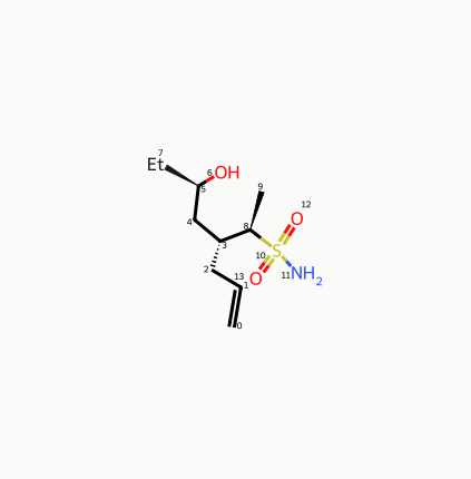 C=CC[C@H](C[C@H](O)CC)[C@@H](C)S(N)(=O)=O